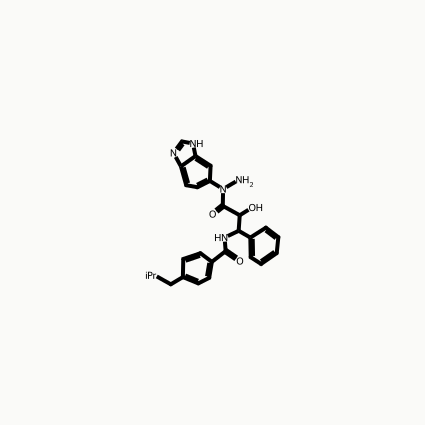 CC(C)Cc1ccc(C(=O)NC(c2ccccc2)C(O)C(=O)N(N)c2ccc3nc[nH]c3c2)cc1